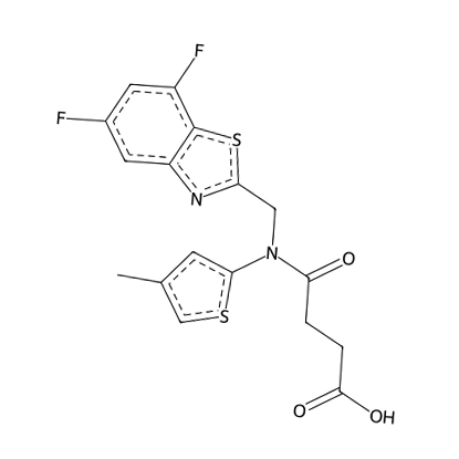 Cc1csc(N(Cc2nc3cc(F)cc(F)c3s2)C(=O)CCC(=O)O)c1